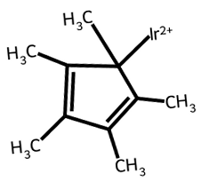 CC1=C(C)[C](C)([Ir+2])C(C)=C1C